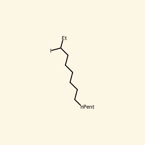 CCCCCCCCCCCC(I)CC